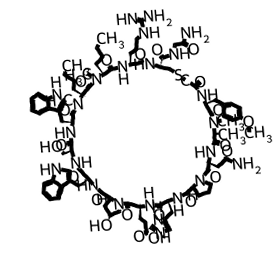 CCCC[C@H]1C(=O)N(C)[C@@H](CCCC)C(=O)N[C@@H](CCCNC(=N)N)C(=O)N[C@H](C(=O)NCC(N)=O)CSCC(=O)N[C@@H](Cc2ccc(OC)cc2)C(=O)N(C)[C@@H](C)C(=O)N[C@@H](CC(N)=O)C(=O)N2CCC[C@H]2C(=O)N[C@@H](Cc2cnc[nH]2)C(=O)N[C@@H](CCC(=O)O)C(=O)N2C[C@H](O)C[C@H]2C(=O)N[C@@H](Cc2c[nH]c3ccccc23)C(=O)N[C@@H](CO)C(=O)N[C@@H](Cc2c[nH]c3ccccc23)C(=O)N1C